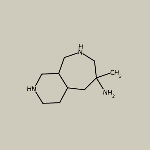 CC1(N)CNCC2CNCCC2C1